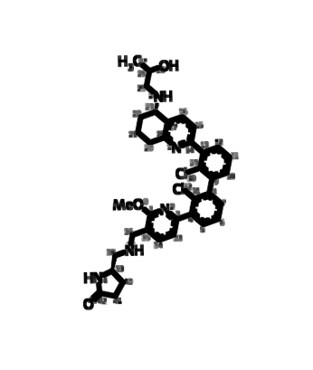 COc1nc(-c2cccc(-c3cccc(-c4ccc5c(n4)CCC[C@@H]5NCC(C)O)c3Cl)c2Cl)ccc1CNC[C@H]1CCC(=O)N1